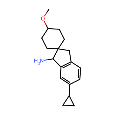 COC1CCC2(CC1)Cc1ccc(C3CC3)cc1C2N